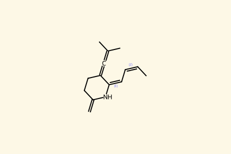 C=C1CCC(=C=C(C)C)/C(=C\C=C/C)N1